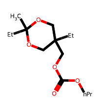 CCCOC(=O)OCC1(CC)COC(C)(CC)OC1